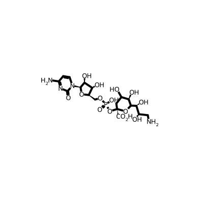 NC[C@@H](O)[C@@H](O)C1O[C@](OP(=O)(O)OC[C@H]2O[C@@H](n3ccc(N)nc3=O)[C@@H](O)[C@H]2O)(C(=O)O)CC(O)[C@H]1O